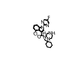 O=C(NCC1(N2CCNCC2)CCCCC1)c1cn(-c2ncc(F)cn2)c2cccc(Cl)c12